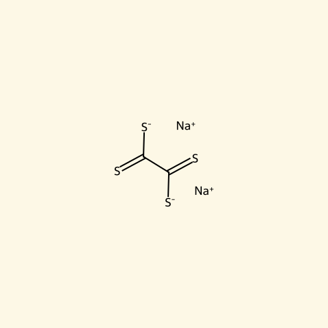 S=C([S-])C(=S)[S-].[Na+].[Na+]